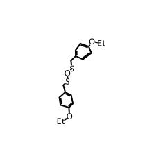 CCOc1ccc(CSOSCc2ccc(OCC)cc2)cc1